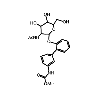 COC(=O)Nc1cccc(-c2ccccc2OC2OC(CO)C(O)C(O)C2NC(C)=O)c1